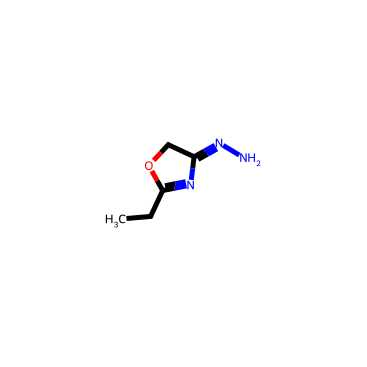 CCC1=NC(=NN)CO1